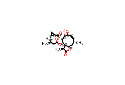 C=C1C(=O)O[C@@H]2C[C@H](C)/C=C\C(=O)[C@](C)(O)[C@@H](OC(=O)C3CC3)[C@@H](OC(=O)CC(C)C)[C@@H]12